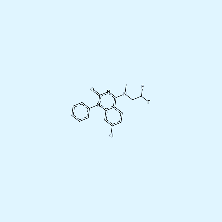 CN(CC(F)F)c1nc(=O)n(-c2ccccc2)c2cc(Cl)ccc12